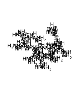 CC(CCCNC(=N)N)C(=O)NC(CCCNC(=N)N)C(=O)NC(CCCNC(=N)N)C(=O)NCCCCC(NC(=O)C(CCCNC(=N)N)NC(=O)C(CCCNC(=N)N)NC(=O)C(N)CCCNC(=N)N)C(=O)NCCCCC(NC(=O)C(CCCNC(=N)N)NC(=O)C(CCCNC(=N)N)NC(=O)CCCC[C@@H]1SC[C@@H]2NC(=O)N[C@@H]21)C(N)=O